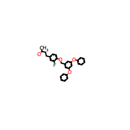 CC(=O)CCc1ccc(OCc2cc(Oc3ccccc3)cc(Oc3ccccc3)c2)c(F)c1